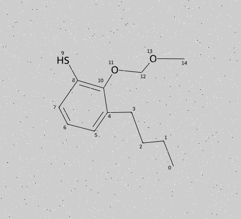 CCCCc1cccc(S)c1OCOC